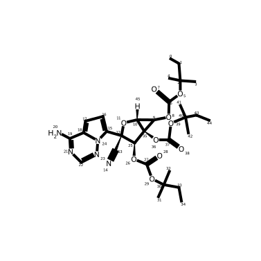 CCC(C)(C)OC(=O)OC1[C@H]2O[C@@](C#N)(c3ccc4c(N)ncnn34)[C@H](OC(=O)OC(C)(C)CC)[C@@]12OC(=O)OC(C)(C)CC